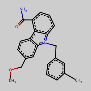 COCc1c[c]c2c3c(C(N)=O)cccc3n(Cc3cccc(C)c3)c2c1